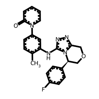 Cc1ccc(-n2ccccc2=O)cc1Nc1nnc2n1[C@H](c1ccc(F)cc1)COC2